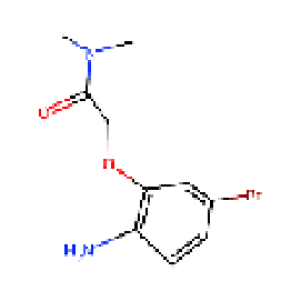 CN(C)C(=O)COc1cc(Br)ccc1N